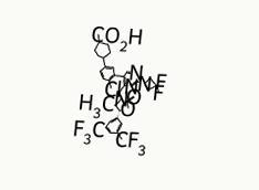 C[C@H]1[C@@H](c2cc(C(F)(F)F)cc(C(F)(F)F)c2)OC(=O)N1Cc1nc(N2CC(F)(F)C2)ncc1-c1cc(C2CCC(C(=O)O)CC2)ccc1Cl